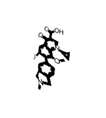 COc1c(-c2ccc3c(c2)CN(C)C3)c(F)cc2c(=O)c(C(=O)O)cn(C3CC3)c12